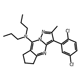 CCCN(CCC)c1c2c(nc3c(-c4cc(Cl)ccc4Cl)c(C)nn13)CCC2